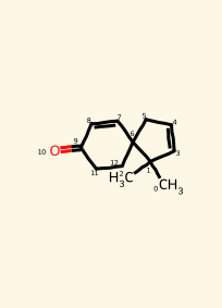 CC1(C)C=CCC12C=CC(=O)CC2